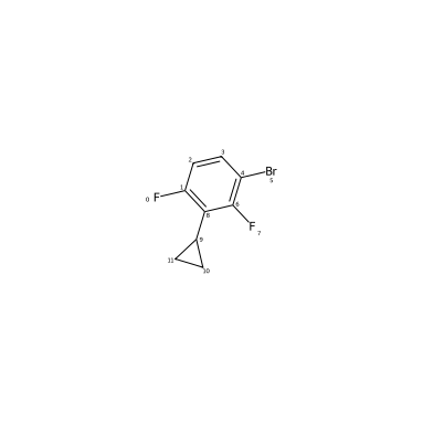 Fc1ccc(Br)c(F)c1C1CC1